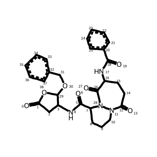 O=C1CC(NC(=O)C2CCCN3C(=O)CCC(NC(=O)c4ccccc4)C(=O)N23)C(OCc2ccccc2)O1